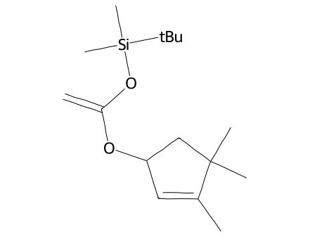 C=C(OC1C=C(C)C(C)(C)C1)O[Si](C)(C)C(C)(C)C